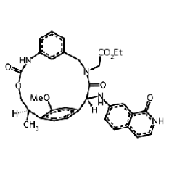 CCOC(=O)CN1Cc2cccc(c2)NC(=O)OC[C@H](C)c2ccc(cc2OC)[C@@H](Nc2ccc3cc[nH]c(=O)c3c2)C1=O